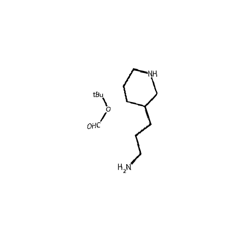 CC(C)(C)OC=O.NCCCC1CCCNC1